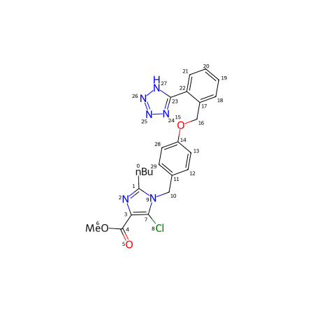 CCCCc1nc(C(=O)OC)c(Cl)n1Cc1ccc(OCc2ccccc2-c2nnn[nH]2)cc1